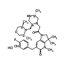 C[C@@H]1CN(CC(=O)N2CC(C)(C)c3c2cc(Cc2ccc(F)cc2)c(=O)n3C)[C@@H](CN2[C@H](C)COC[C@H]2C)CN1.Cl.Cl